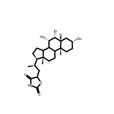 CC[C@H]1[C@@H](O)C2C3CC[C@H]([C@H](C)CC4SC(=O)NC4=O)[C@@]3(C)CCC2[C@@]2(C)CC[C@@H](O)C[C@@H]12